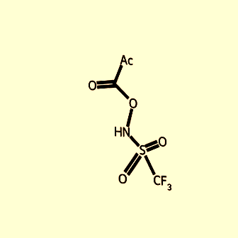 CC(=O)C(=O)ONS(=O)(=O)C(F)(F)F